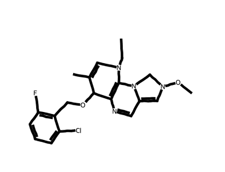 CCN1C=C(C)C(OCc2c(F)cccc2Cl)C2=C1N1CN(OC)C=C1C=N2